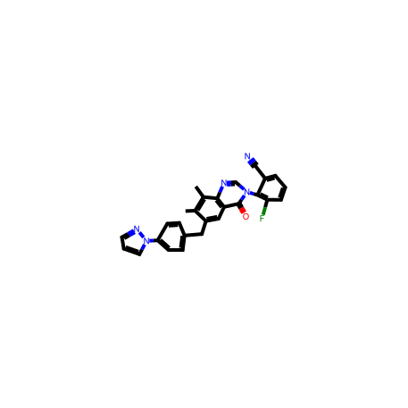 Cc1c(Cc2ccc(-n3cccn3)cc2)cc2c(=O)n(-c3c(F)cccc3C#N)cnc2c1C